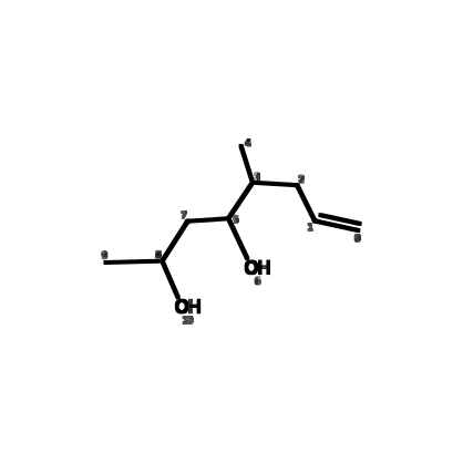 C=CCC(C)C(O)CC(C)O